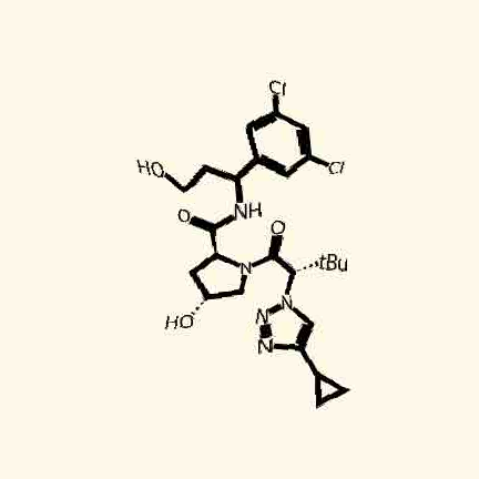 CC(C)(C)[C@@H](C(=O)N1C[C@H](O)C[C@H]1C(=O)NC(CCO)c1cc(Cl)cc(Cl)c1)n1cc(C2CC2)nn1